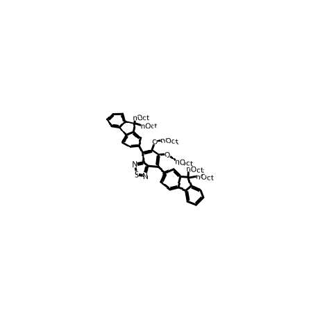 CCCCCCCCOc1c(OCCCCCCCC)c(-c2ccc3c(c2)C(CCCCCCCC)(CCCCCCCC)c2ccccc2-3)c2nsnc2c1-c1ccc2c(c1)C(CCCCCCCC)(CCCCCCCC)c1ccccc1-2